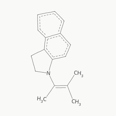 CC(C)=C(C)N1CCc2c1ccc1ccccc21